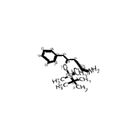 CC(C)(C)[Si](C)(C)OC(CCN)Cc1ccccc1